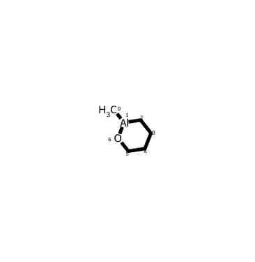 [CH3][Al]1[CH2]CCC[O]1